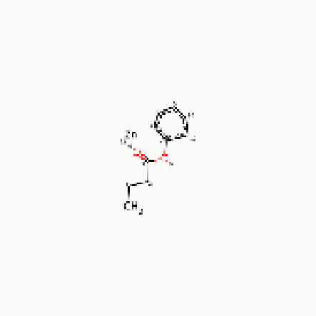 CCCC(=O)Oc1ccccc1.[Zn]